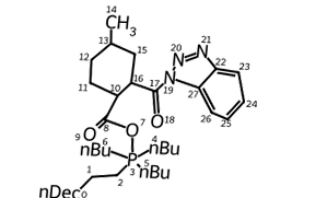 CCCCCCCCCCCCP(CCCC)(CCCC)(CCCC)OC(=O)C1CCC(C)CC1C(=O)n1nnc2ccccc21